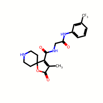 CC1=C(C(=O)NCC(=O)Nc2cccc(C(F)(F)F)c2)C2(CCNCC2)OC1=O